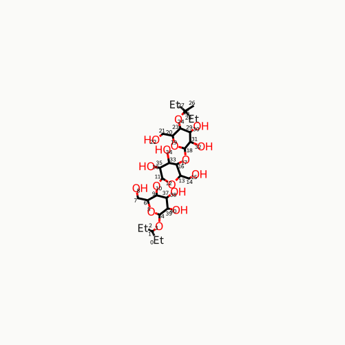 CCC(CC)OC1OC(CO)C(OC2OC(CO)C(OC3OC(CO)C(OC(C)(CC)CC)C(O)C3O)C(O)C2O)C(O)C1O